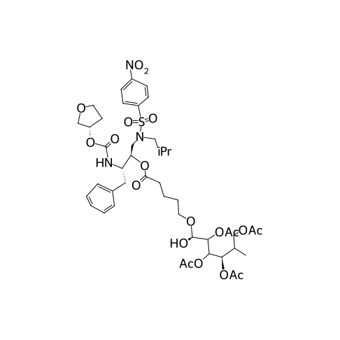 CC(=O)OCC(C)[C@@H](OC(C)=O)C(OC(C)=O)C(OC(C)=O)[C@@H](O)OCCCCC(=O)O[C@H](CN(CC(C)C)S(=O)(=O)c1ccc([N+](=O)[O-])cc1)[C@H](Cc1ccccc1)NC(=O)O[C@H]1CCOC1